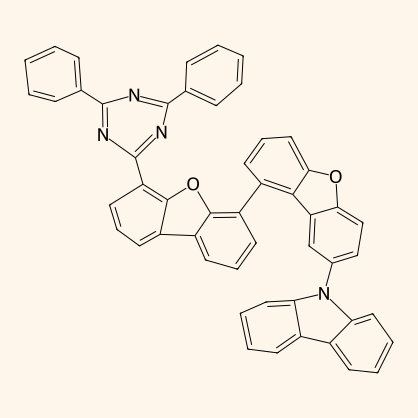 c1ccc(-c2nc(-c3ccccc3)nc(-c3cccc4c3oc3c(-c5cccc6oc7ccc(-n8c9ccccc9c9ccccc98)cc7c56)cccc34)n2)cc1